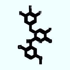 COc1ccc(Cl)c(Nc2nc(=O)c(F)cn2Cc2cc(F)c(F)c(F)c2)c1